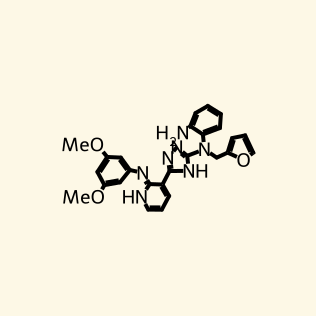 COc1cc(N=c2[nH]cccc2-c2nnc(N(Cc3ccco3)c3ccccc3N)[nH]2)cc(OC)c1